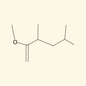 C=C(OC)C(C)CC(C)C